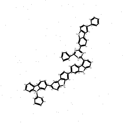 c1ccc(-c2ccc3oc4cc(-c5nc(-c6ccccc6)nc(-c6cccc7sc8cc(-c9ccc%10c(c9)oc9ccc(-c%11ccc%12c%13ccccc%13n(-c%13ccccc%13)c%12c%11)cc9%10)ccc8c67)n5)ccc4c3c2)cc1